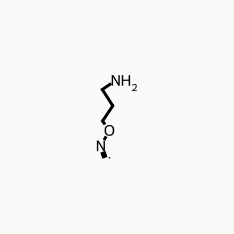 [CH]=NOCCCN